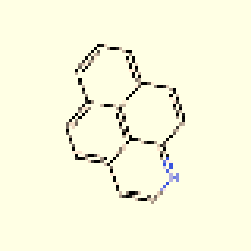 [c]1cc2ccc3cccc4ccc(n1)c2c34